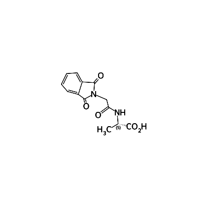 C[C@H](NC(=O)CN1C(=O)c2ccccc2C1=O)C(=O)O